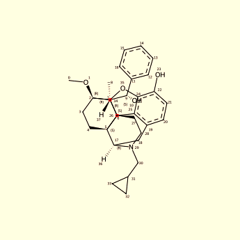 CO[C@]12CC[C@@]3(C[C@]1(C)[C@@H](O)c1ccccc1)[C@H]1Cc4ccc(O)c5c4[C@@]3(CCN1CC1CC1)[C@H]2O5